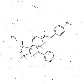 COc1ccc(CO[C@H](/C=C\C(OC(=O)c2ccccc2)[C@H]2OC(C)(C)O[C@H]2CCO)[C@H](C)O)cc1